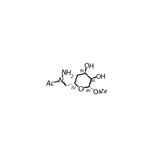 CO[C@@H]1O[C@H](CN(N)C(C)=O)C[C@@H](O)[C@H]1O